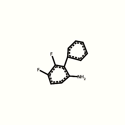 Nc1ccc(F)c(F)c1-c1ccccc1